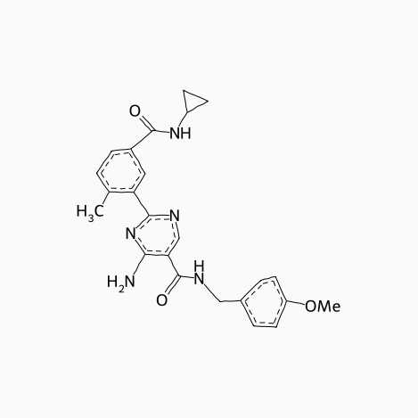 COc1ccc(CNC(=O)c2cnc(-c3cc(C(=O)NC4CC4)ccc3C)nc2N)cc1